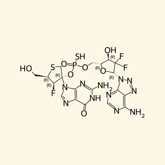 Nc1nc2c(ncn2[C@]2(OP(=O)(S)OC[C@H]3O[C@@H](n4nnc5c(N)ncnc54)C(F)(F)[C@@H]3O)CS[C@H](CO)[C@@H]2F)c(=O)[nH]1